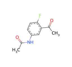 CC(=O)Nc1ccc(F)c(C(C)=O)c1